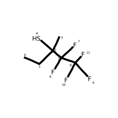 CCC(C)(S)C(F)(F)C(F)(F)F